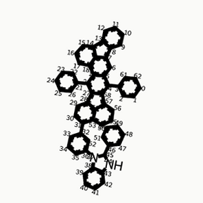 c1ccc(-c2c3cc4c5ccccc5c5cccc(c3c(-c3ccccc3)c3c6ccc(-c7cccc(N8c9ccccc9NC8c8ccccc8)c7)c7cccc(c23)c76)c54)cc1